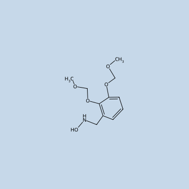 COCOc1cccc(CNO)c1OCOC